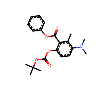 Cc1c(N(C)C)ccc(OC(=O)OC(C)(C)C)c1C(=O)Oc1ccccc1